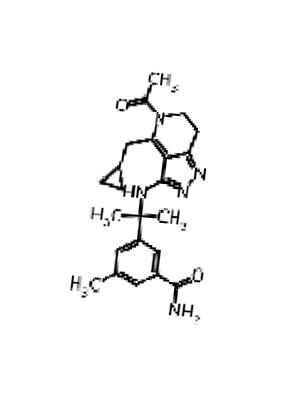 CC(=O)N1CCC2=NN=C(NC(C)(C)c3cc(C)cc(C(N)=O)c3)C2=C1CC1CC1